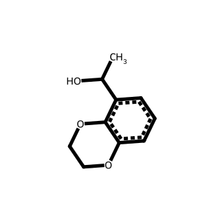 CC(O)c1cccc2c1OCCO2